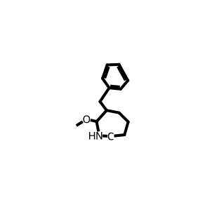 COC1NCCCCC1Cc1ccccc1